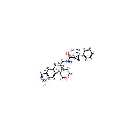 CC1(c2ccccc2)C[C@H]1C(=O)NC[C@H](Cc1ccc2[nH]ncc2c1)N1CCOCC1